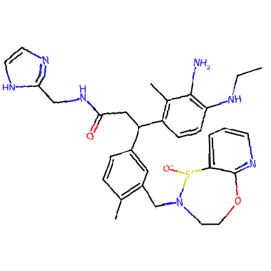 CCNc1ccc(C(CC(=O)NCc2ncc[nH]2)c2ccc(C)c(CN3CCOc4ncccc4[S+]3[O-])c2)c(C)c1N